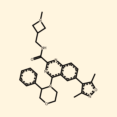 Cc1noc(C)c1-c1ccc2nc(C(=O)NCC3CN(C)C3)nc(N3CCOCC3c3ccccc3)c2c1